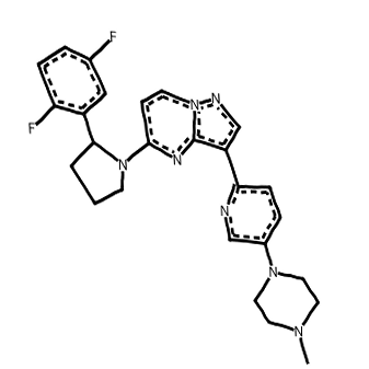 CN1CCN(c2ccc(-c3cnn4ccc(N5CCCC5c5cc(F)ccc5F)nc34)nc2)CC1